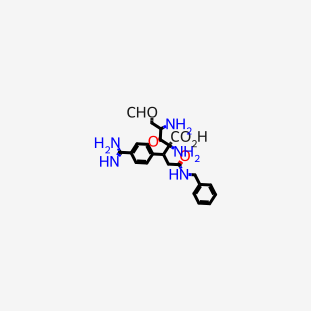 N=C(N)c1ccc(C(CC(=O)NCc2ccccc2)C(N)(C(=O)O)C(=O)C(N)CC=O)cc1